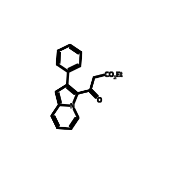 CCOC(=O)CC(=O)c1c(-c2ccccc2)cc2ccccn12